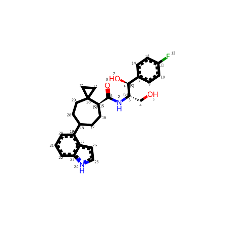 O=C(N[C@@H](CO)[C@@H](O)c1ccc(F)cc1)[C@H]1CCC(c2cccc3[nH]ccc23)CCC12CC2